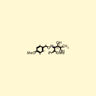 COc1ccc(CO/N=C(\[C@@H](OC)C(C)C)[C@@H](O)[C@@H](C)O)cc1